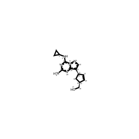 Nc1nc(NC2CC2)n2ncc([C@H]3C=C[C@@H](CO)C3)c2n1